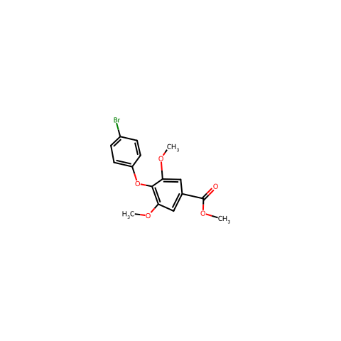 COC(=O)c1cc(OC)c(Oc2ccc(Br)cc2)c(OC)c1